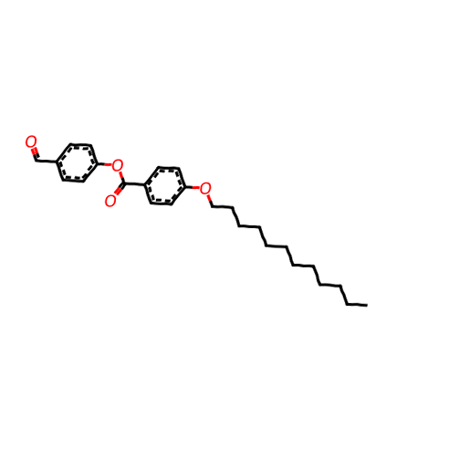 CCCCCCCCCCCCOc1ccc(C(=O)Oc2ccc(C=O)cc2)cc1